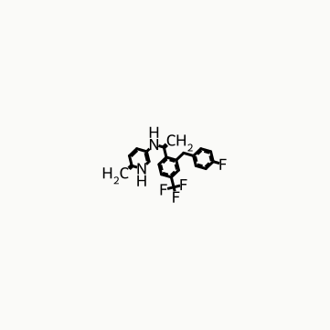 C=C1C=CC(NC(=C)c2ccc(C(F)(F)F)cc2Cc2ccc(F)cc2)=CN1